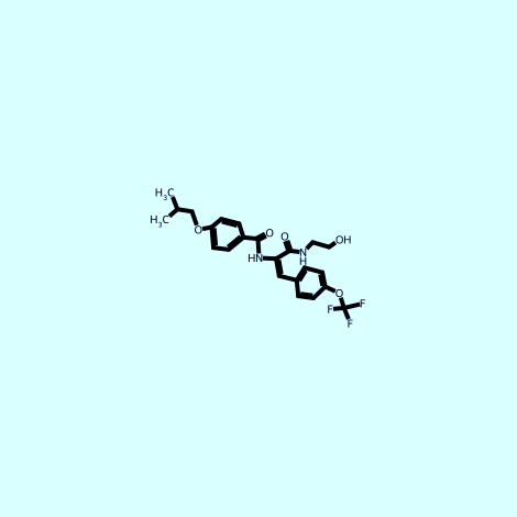 CC(C)COc1ccc(C(=O)NC(=Cc2ccc(OC(F)(F)F)cc2)C(=O)NCCO)cc1